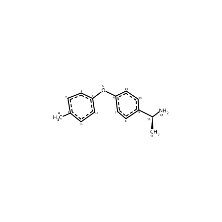 Cc1ccc(Oc2ccc([C@H](C)N)cc2)cc1